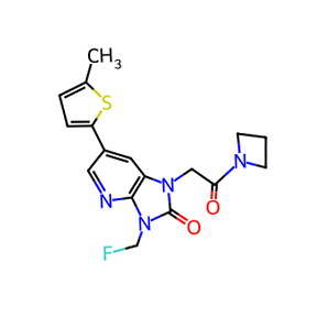 Cc1ccc(-c2cnc3c(c2)n(CC(=O)N2CCC2)c(=O)n3CF)s1